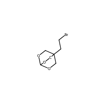 BrCCC12COC(OC1)OC2